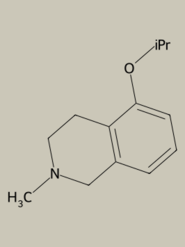 CC(C)Oc1cccc2c1CCN(C)C2